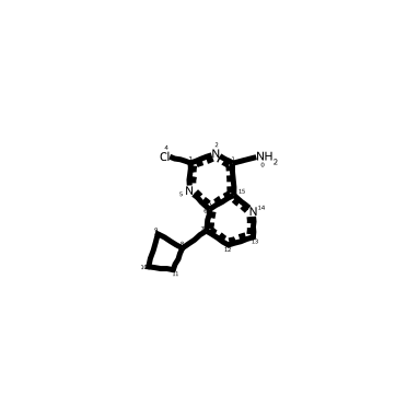 Nc1nc(Cl)nc2c(C3CCC3)ccnc12